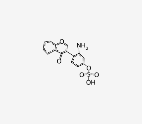 Nc1cc(OS(=O)(=O)O)ccc1-c1coc2ccccc2c1=O